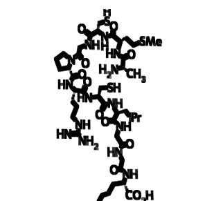 CSCC[C@H](NC(=O)[C@H](C)N)C(=O)N[C@@H](CS)C(=O)NCC(=O)N1CCC[C@H]1C(=O)N[C@@H](CCCNC(=N)N)C(=O)N[C@@H](CS)C(=O)N[C@@H](CC(C)C)C(=O)NCC(=O)NCC(=O)N[C@@H](CCCCN)C(=O)O